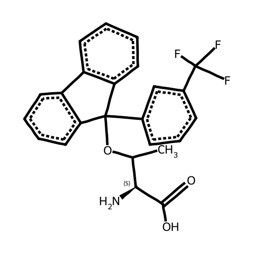 CC(OC1(c2cccc(C(F)(F)F)c2)c2ccccc2-c2ccccc21)[C@H](N)C(=O)O